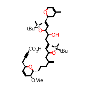 C=C(CCC[C@H]1O[C@H](CC#CC(=O)O)C=C[C@@H]1OC)CC(/C=C/C[C@H](O)[C@H](/C=C/[C@@H]1CC(C)=CCO1)O[Si](C)(C)C(C)(C)C)O[Si](C)(C)C(C)(C)C